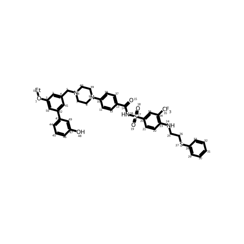 CCOc1cc(CN2CCN(c3ccc(C(=O)NS(=O)(=O)c4ccc(NCCSc5ccccc5)c(C(F)(F)F)c4)cc3)CC2)cc(-c2cccc(O)c2)c1